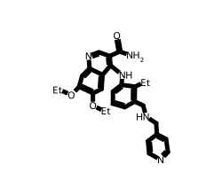 CCOc1cc2ncc(C(N)=O)c(Nc3cccc(CNCc4ccncc4)c3CC)c2cc1OCC